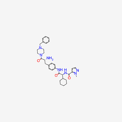 Cn1nccc1C(=O)N[C@H](C(=O)Nc1ccc(C[C@@H](N)C(=O)N2CCN(Cc3ccccc3)CC2)cc1)C1CCCCC1